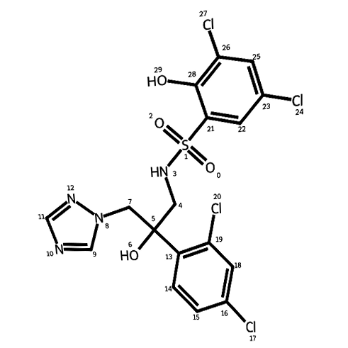 O=S(=O)(NCC(O)(Cn1cncn1)c1ccc(Cl)cc1Cl)c1cc(Cl)cc(Cl)c1O